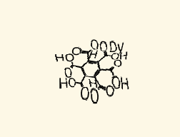 O=C(O)c1c(C(=O)O)c(C(=O)O)c(C(=O)O)c(C(=O)O)c1C(=O)O.[Dy]